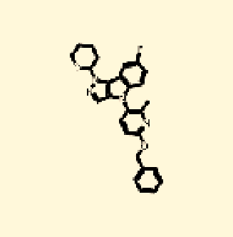 Cc1nc(OCc2ccccc2)ccc1-n1c2ccc(F)cc2c2c1cnn2C1CCCCO1